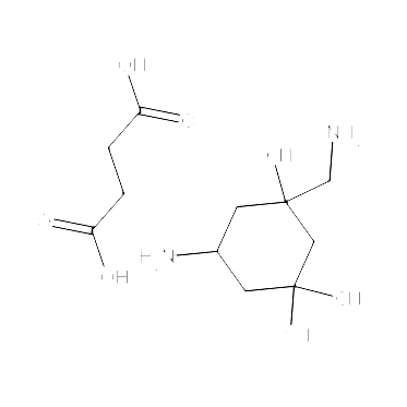 CC1(C)CC(N)CC(C)(CN)C1.O=C(O)CCC(=O)O